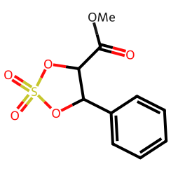 COC(=O)C1OS(=O)(=O)OC1c1ccccc1